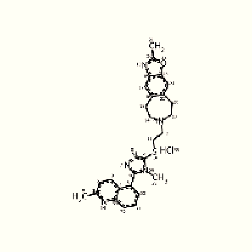 Cc1ccc2c(-c3nnc(SCCN4CCc5cc6nc(C)oc6cc5CC4)n3C)cccc2n1.Cl